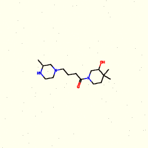 CC1CN(CCCC(=O)N2CCC(C)(C)C(O)C2)CCN1